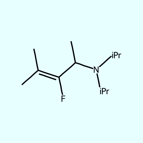 CC(C)=C(F)C(C)N(C(C)C)C(C)C